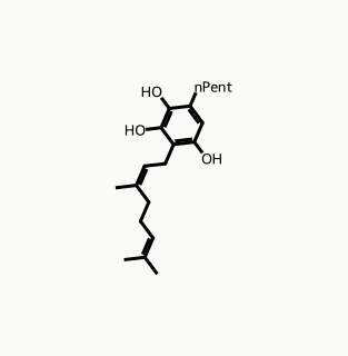 CCCCCc1cc(O)c(C/C=C(/C)CCC=C(C)C)c(O)c1O